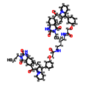 Cc1c(-c2cccc(OCC(=O)NCCCCNC(=O)COc3cccc(-c4c(C)c(C(=O)c5ccc6[nH]c(=O)n(CC(=O)O)c(=O)c6c5)n5ccccc45)c3)c2)c2ccccn2c1C(=O)c1ccc2[nH]c(=O)n(CC(=O)O)c(=O)c2c1